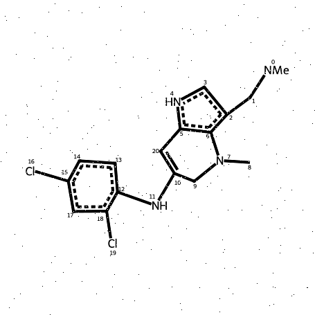 CNCc1c[nH]c2c1N(C)CC(Nc1ccc(Cl)cc1Cl)=C2